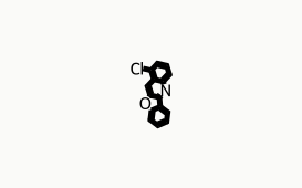 Clc1cccc2nc3c(cc12)oc1ccccc13